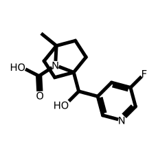 CC12CCC(C(O)c3cncc(F)c3)(CC1)N2C(=O)O